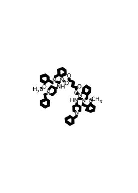 COc1ccccc1CN1Cc2ccccc2N(OC(=O)/C=C/C(=O)ON2c3ccccc3CN(Cc3ccccc3OC)C2NC2CCN(Cc3ccccc3)CC2)C1NC1CCN(Cc2ccccc2)CC1